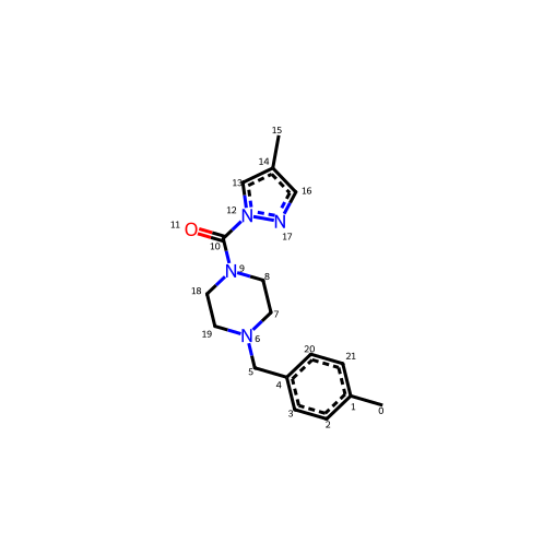 Cc1ccc(CN2CCN(C(=O)n3cc(C)cn3)CC2)cc1